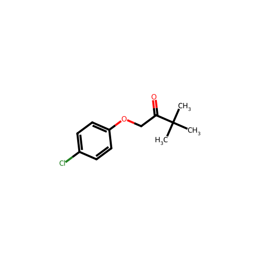 CC(C)(C)C(=O)COc1ccc(Cl)cc1